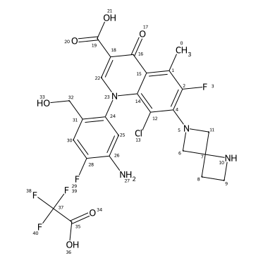 Cc1c(F)c(N2CC3(CCN3)C2)c(Cl)c2c1c(=O)c(C(=O)O)cn2-c1cc(N)c(F)cc1CO.O=C(O)C(F)(F)F